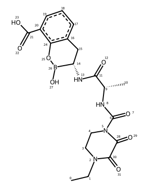 CCN1CCN(C(=O)N[C@@H](C)C(=O)N[C@H]2Cc3cccc(C(=O)O)c3OB2O)C(=O)C1=O